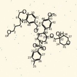 COCCCN1CCOc2ccc(CO[C@H]3CN(S(=O)(=O)c4ccc(C)cc4)C[C@@H](OCC4(O)CCOCC4)[C@@H]3c3ccc(OC)cc3)cc21